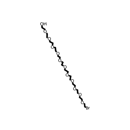 OCCOCCOCCOCCOCCOCCOCCOCCOCCOCCOCCOCCBr